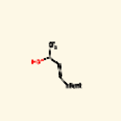 CCCCCC=CC(O)C(F)(F)F